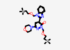 C[Si](C)(C)CCOCn1nc(N2CCOCC2)cc(-c2nc3ccccc3n2COCC[Si](C)(C)C)c1=O